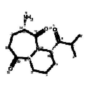 CC(C)C(=O)[C@@H]1CCCN2C(=O)CC[C@H](N)C(=O)N12